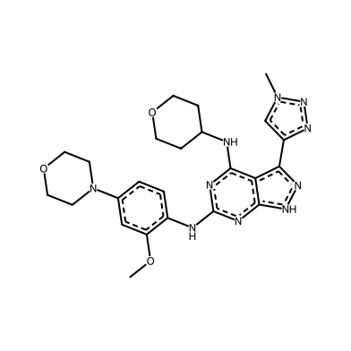 COc1cc(N2CCOCC2)ccc1Nc1nc(NC2CCOCC2)c2c(-c3cn(C)nn3)n[nH]c2n1